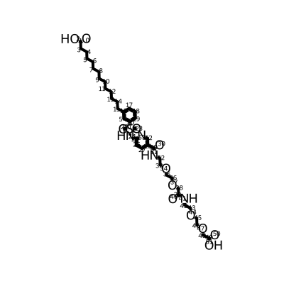 O=C(O)CCCCCCCCCCCCCc1cccc(S(=O)(=O)Nc2ccc(C(=O)NCCOCCOCC(=O)NCCOCCOCC(=O)O)cn2)c1